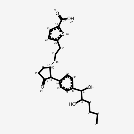 CCCCC(O)C(O)c1ccc(C2C(=O)CC[C@@H]2CCCc2ccc(C(=O)O)s2)cc1